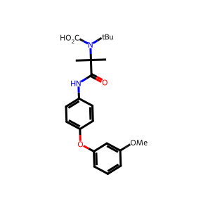 COc1cccc(Oc2ccc(NC(=O)C(C)(C)N(C(=O)O)C(C)(C)C)cc2)c1